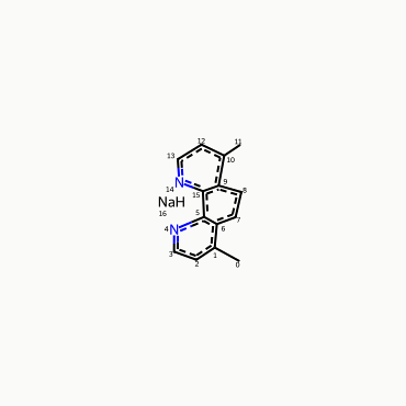 Cc1ccnc2c1ccc1c(C)ccnc12.[NaH]